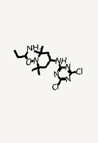 CCC(N)ON1C(C)(C)CC(Nc2nc(Cl)nc(Cl)n2)CC1(C)C